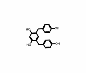 Oc1ccc(Cc2cc(Cc3ccc(O)cc3)c(O)cc2O)cc1